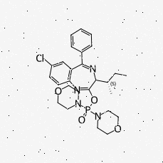 CC[C@H](C)C1N=C(c2ccccc2)c2cc(Cl)ccc2N=C1OP(=O)(N1CCOCC1)N1CCOCC1